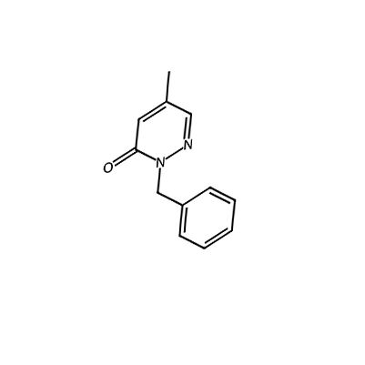 Cc1cnn(Cc2ccccc2)c(=O)c1